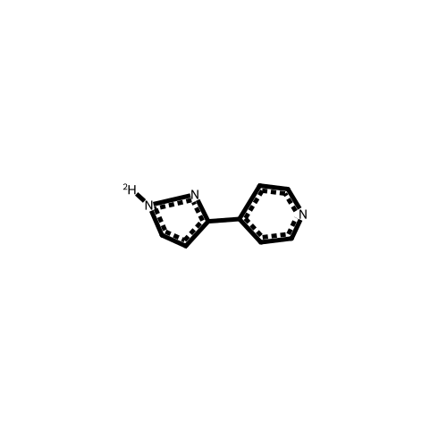 [2H]n1ccc(-c2ccncc2)n1